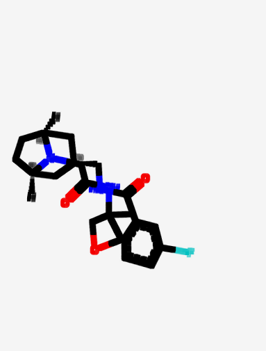 CC1(NC(=O)CN2[C@@H]3CC[C@H]2C[C@H](CNC(=O)c2cccc(F)c2)C3)COC1